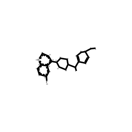 CCC1C=CC(C(C)C2CCC(c3ccnc4ccc(F)cc34)CC2)=CC1